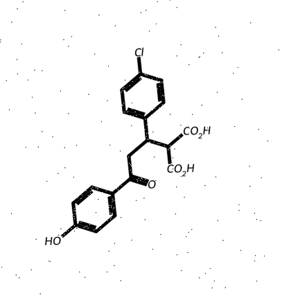 O=C(CC(c1ccc(Cl)cc1)C(C(=O)O)C(=O)O)c1ccc(O)cc1